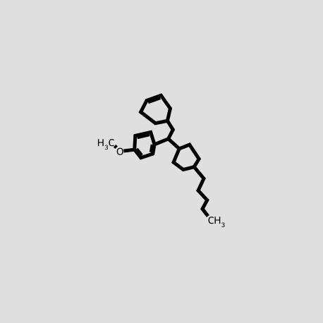 CCCCCC1CCC(C(CC2CC=CCC2)c2ccc(OC)cc2)CC1